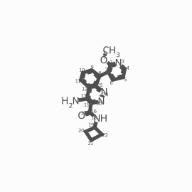 COc1ncccc1-c1cccc2c(N)c(C(=O)NC3CCC3)nnc12